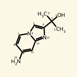 CC(C)(O)c1cn2ccc(N)cc2n1